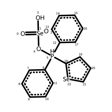 O=[Se](=O)(O)O[PH](c1ccccc1)(c1ccccc1)c1ccc[se]1